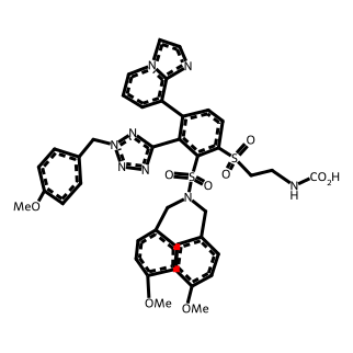 COc1ccc(CN(Cc2ccc(OC)cc2)S(=O)(=O)c2c(S(=O)(=O)CCNC(=O)O)ccc(-c3cccn4ccnc34)c2-c2nnn(Cc3ccc(OC)cc3)n2)cc1